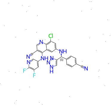 N#Cc1ccc([C@H](Nc2cc(Cl)c3ncc(C#N)c(Nc4cnc(F)c(F)c4)c3c2)c2c[nH]nn2)cc1